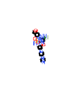 COc1cc(N2CCC(N3CCN(C)CC3)CC2)ccc1Nc1ncc(Cl)c(Nc2cc3c(cc2NS(C)(=O)=O)CCO3)n1